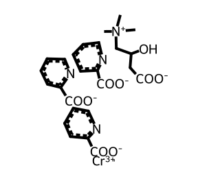 C[N+](C)(C)CC(O)CC(=O)[O-].O=C([O-])c1ccccn1.O=C([O-])c1ccccn1.O=C([O-])c1ccccn1.[Cr+3]